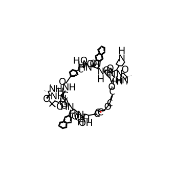 CN[C@@H](C)C(=O)N[C@H](C(=O)N1C[C@@H]2C[C@H]1C(=O)N[C@@H](Cc1ccc3ccccc3c1)C(=O)N[C@H](C(=O)O)Cc1ccc(cc1)C(=O)N[C@H]1C[C@@H](C(=O)N[C@@H](Cc3ccc4ccccc4c3)C(=O)N[C@H](C(=O)O)Cc3ccc(cc3)OC/C=C/CO2)N(C(=O)[C@@H](NC(=O)[C@H](C)NC)C(C)(C)C)C1)C1CCNCC1